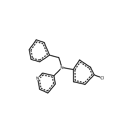 Clc1ccc(N(Cc2ccccc2)c2[c]nccc2)cc1